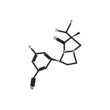 C[C@@]1(C(F)F)CN2CC[C@@H](c3cc(F)cc(C#N)c3)N2C1=O